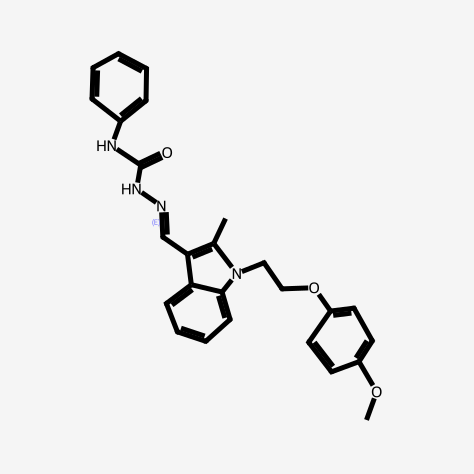 COc1ccc(OCCn2c(C)c(/C=N/NC(=O)Nc3ccccc3)c3ccccc32)cc1